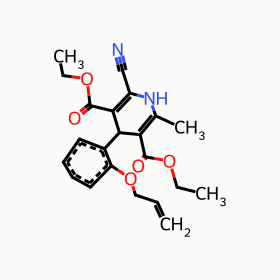 C=CCOc1ccccc1C1C(C(=O)OCC)=C(C)NC(C#N)=C1C(=O)OCC